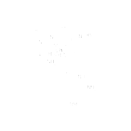 C=CN(c1ncnc(N)c1C)[C@]12CO[C@H](CN(C(C)C)[C@H]3C[C@@H](CCC(=O)Nc4ccc(C(C)(C)C)cc4N)C3)[C@H]1OC(C)(C)O2